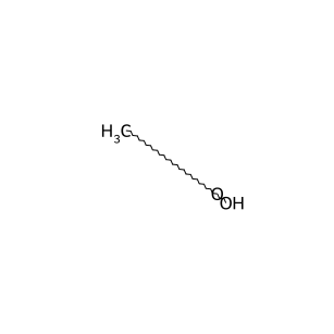 CCCCCCCCCCCCCCCCCCCCCCCCCCCOCCO